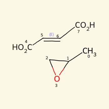 CC1CO1.O=C(O)/C=C/C(=O)O